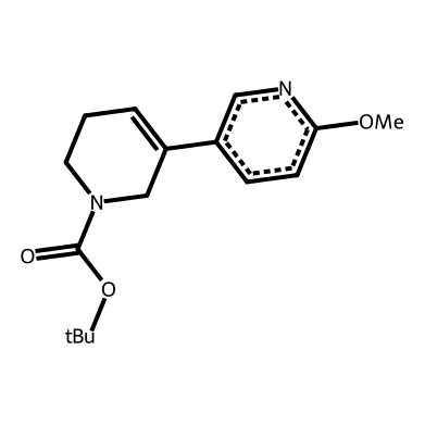 COc1ccc(C2=CCCN(C(=O)OC(C)(C)C)C2)cn1